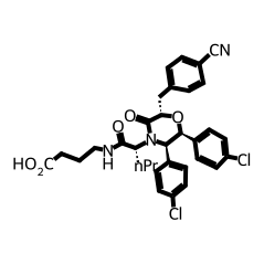 CCC[C@H](C(=O)NCCCC(=O)O)N1C(=O)[C@H](Cc2ccc(C#N)cc2)O[C@@H](c2ccc(Cl)cc2)[C@H]1c1ccc(Cl)cc1